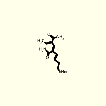 CC=C(C=C(C=CCCCCCCCCCCC)C(N)=O)C(N)=O